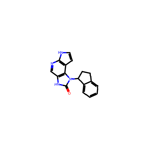 O=c1[nH]c2cnc3[nH]ccc3c2n1C1CCc2ccccc21